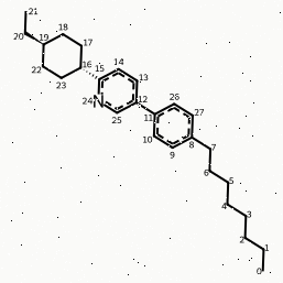 CCCCCCCCc1ccc(-c2ccc([C@H]3CC[C@H](CC)CC3)nc2)cc1